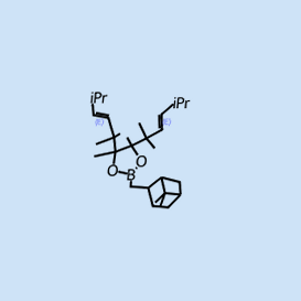 CC(C)/C=C/C(C)(C)C1(C)OB(CC2CCC3CC2C3(C)C)OC1(C)C(C)(C)/C=C/C(C)C